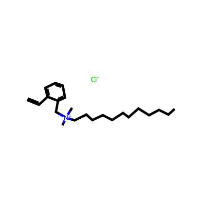 C=Cc1ccccc1C[N+](C)(C)CCCCCCCCCCCC.[Cl-]